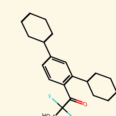 O=C(c1ccc(C2CCCCC2)cc1C1CCCCC1)C(F)(F)S(=O)(=O)O